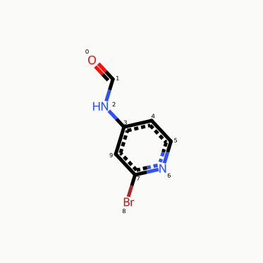 O=CNc1ccnc(Br)c1